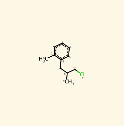 Cc1ccccc1CC(C)CCl